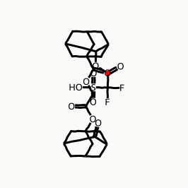 O=C(COC(=O)C12CC3CC(C1)C(OC(=O)C(F)(F)S(=O)(=O)O)C(C3)C2)OC12CC3CC(C1)C(=O)C(C3)C2